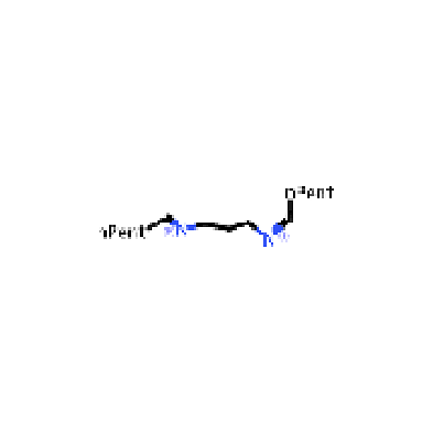 CCCCC/C=N\CCC/N=C/CCCCC